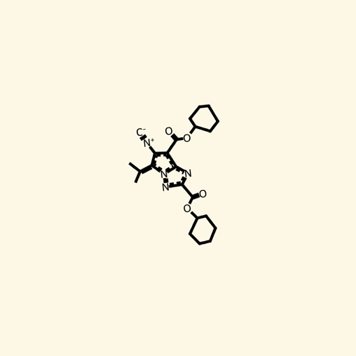 [C-]#[N+]c1c(C(=O)OC2CCCCC2)c2nc(C(=O)OC3CCCCC3)nn2c1=C(C)C